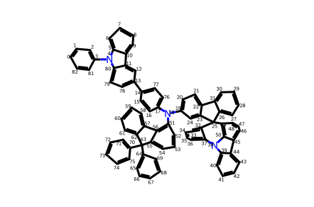 c1ccc(-n2c3ccccc3c3cc(-c4ccc(N(c5ccc6c(c5)C5(c7ccccc7-6)c6ccccc6-n6c7ccccc7c7cccc5c76)c5cccc6c5-c5ccccc5C6(c5ccccc5)c5ccccc5)cc4)ccc32)cc1